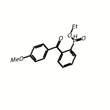 CCO[PH](=O)c1ccccc1C(=O)c1ccc(OC)cc1